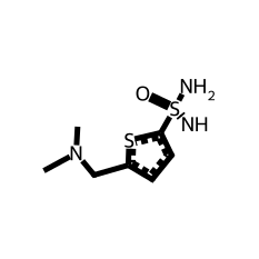 CN(C)Cc1ccc(S(=N)(N)=O)s1